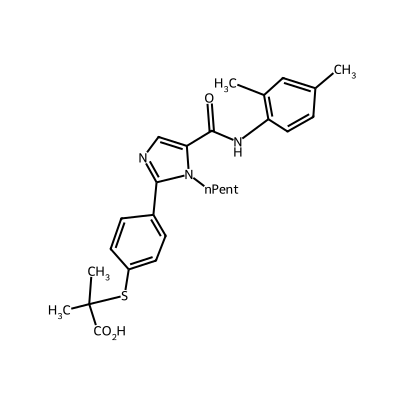 CCCCCn1c(C(=O)Nc2ccc(C)cc2C)cnc1-c1ccc(SC(C)(C)C(=O)O)cc1